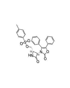 Cc1ccc(S(=O)(=O)OC[C@H]2NC(=O)[C@H]2n2c(-c3ccccc3)c(-c3ccccc3)oc2=O)cc1